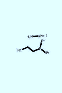 CC(C)P(CCC#N)C(C)C.CCCCCN